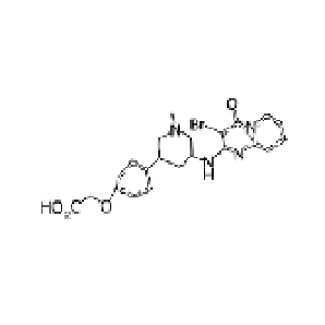 CN1CC(Nc2nc3ccccn3c(=O)c2Br)CC(c2ccc(OCC(=O)O)cc2)C1